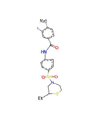 CCC1CN(S(=O)(=O)c2ccc(NC(=O)c3ccc(OC)c(I)c3)cc2)CCS1